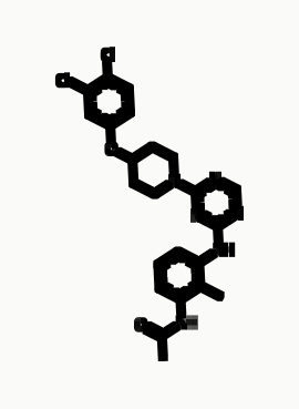 CC(=O)Nc1cccc(Nc2ncnc(N3CCC(Oc4ccc(Cl)c(Cl)c4)CC3)n2)c1C